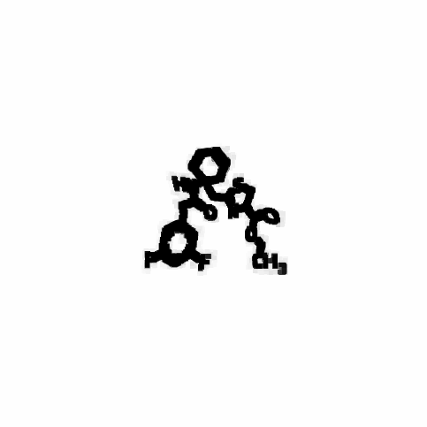 CCOC(=O)C1CSC(CC2(NC(=O)Cc3cc(F)cc(F)c3)C=CC=CC2)=N1